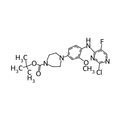 COc1cc(N2CCN(C(=O)OC(C)(C)C)CC2)ccc1Nc1nc(Cl)ncc1F